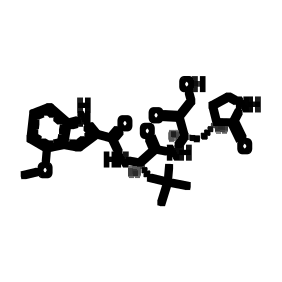 COc1cccc2[nH]c(C(=O)N[C@@H](CC(C)(C)C)C(=O)N[C@@H](C[C@@H]3CCNC3=O)C(=O)CO)cc12